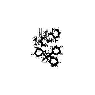 COc1ncccc1Nc1nc(N)c([N+](=O)[O-])c([C@@H]2CCCC[C@@H]2O[Si](c2ccccc2)(c2ccccc2)C(C)(C)C)n1